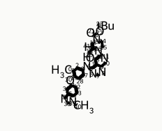 Cc1cc(Nc2ncnc3cnc4c(c23)OC[C@H]2CN(C(=O)OC(C)(C)C)CCN42)ccc1Oc1ccc2c(c1)ncn2C